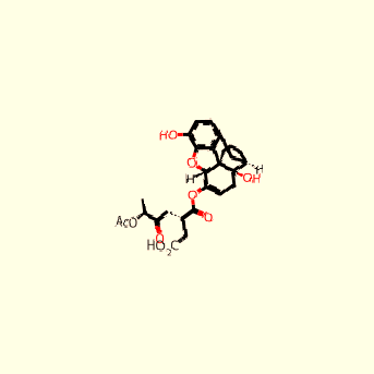 CC(=O)O[C@@H](C)C(=O)C[C@@H](CC(=O)O)C(=O)OC1=CC[C@@]2(O)[C@@H]3CCC[C@@]24c2c(ccc(O)c2O[C@@H]14)C3